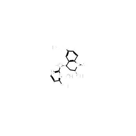 CC(=O)N1c2ccc(C(=O)O)cc2[C@H](Nc2nccc(C)n2)[C@@H](C)[C@@H]1C